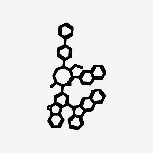 CCC1/C(c2ccc3ccccc3c2)=N\C(c2cc3c(c(-n4c5ccccc5c5cc6ccccc6cc54)c2)C2C=CC=CC2O3)C(C)CCC1c1ccc(-c2ccccc2)cc1